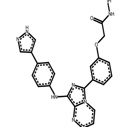 CC(C)NC(=O)COc1cccc(-c2nc(Nc3ccc(-c4cn[nH]c4)cc3)c3ncccn23)c1